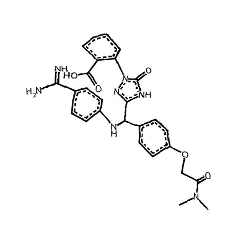 CN(C)C(=O)COc1ccc(C(Nc2ccc(C(=N)N)cc2)c2nn(-c3ccccc3C(=O)O)c(=O)[nH]2)cc1